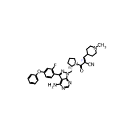 CN1CCC(/C=C(\C#N)C(=O)N2CCC[C@H]2Cn2nc(-c3ccc(Oc4ccccc4)cc3F)c3c(N)ncnc32)CC1